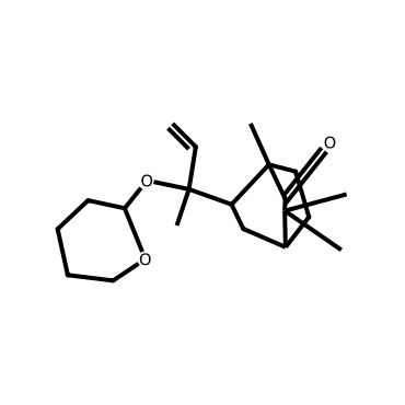 C=CC(C)(OC1CCCCO1)C1CC2CCC1(C)C(=O)C2(C)C